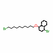 BrCCCCCCCCCCOc1ccc(Br)c2ccccc12